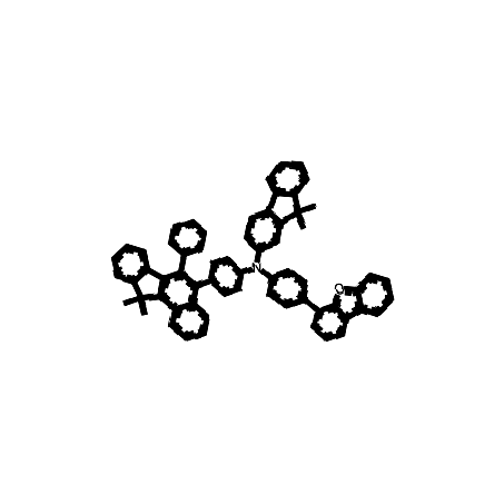 CC1(C)c2ccccc2-c2ccc(N(c3ccc(-c4c(-c5ccccc5)c5c(c6ccccc46)C(C)(C)c4ccccc4-5)cc3)c3ccc(-c4cccc5c4oc4ccccc45)cc3)cc21